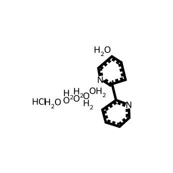 Cl.O.O.O.O.O.O.c1ccc(-c2ccccn2)nc1